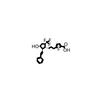 O=C(O)c1ccc(CCC[C@@H]2[C@@H](C#Cc3ccccc3)[C@H](O)C[C@H]2C(F)(F)F)s1